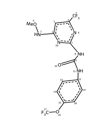 CONc1cc(C(F)(F)F)nc(NC(=O)Nc2ccc(OC(F)(F)F)cc2)n1